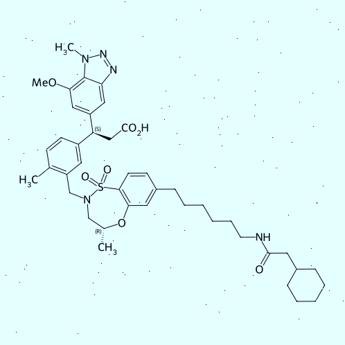 COc1cc([C@@H](CC(=O)O)c2ccc(C)c(CN3C[C@@H](C)Oc4cc(CCCCCCNC(=O)CC5CCCCC5)ccc4S3(=O)=O)c2)cc2nnn(C)c12